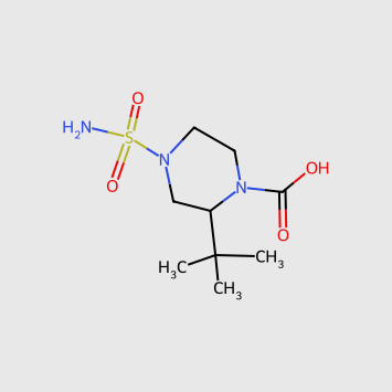 CC(C)(C)C1CN(S(N)(=O)=O)CCN1C(=O)O